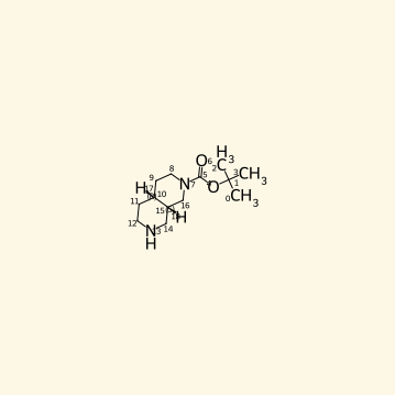 CC(C)(C)OC(=O)N1CC[C@H]2CCNC[C@H]2C1